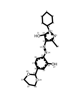 Cc1nn(C2CCCCC2)c(O)c1/N=N/c1ccc(C2OCCCO2)cc1O